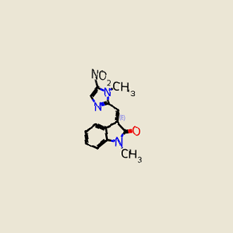 CN1C(=O)/C(=C/c2ncc([N+](=O)[O-])n2C)c2ccccc21